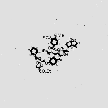 CCOC(=O)C(C)OP(=O)(COc1ccc(C[C@H](NC(=O)O[C@H]2CO[C@H]3OCC[C@H]32)[C@H](O)CN(CC(C)C)S(=O)(=O)c2ccc(OC)c(OC(C)=O)c2)cc1)OCc1ccccc1